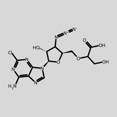 [N-]=[N+]=NC1[C@@H](O)[C@H](n2cnc3c(N)nc(Cl)nc32)O[C@@H]1COC(CO)C(=O)O